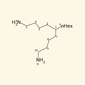 CCCCCCC(CCCCN)CCCCN